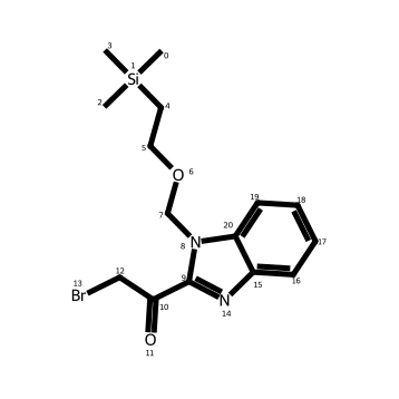 C[Si](C)(C)CCOCn1c(C(=O)CBr)nc2ccccc21